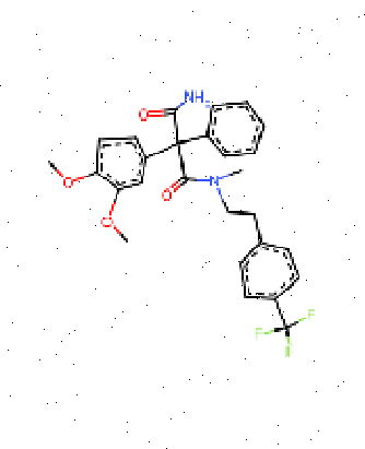 COc1ccc(C(C(N)=O)(C(=O)N(C)CCc2ccc(C(F)(F)F)cc2)c2ccccc2)cc1OC